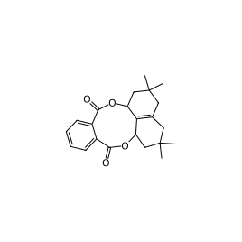 CC1(C)CC2=C3C(C1)OC(=O)c1ccccc1C(=O)OC3CC(C)(C)C2